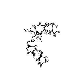 CC(C)(COCc1ccc(F)c(Oc2ccccc2)c1)c1ccc(OC2CCCCC2)cc1